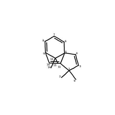 CC1(C)C=CC23C=CC=C(C=C12)C3(C)C